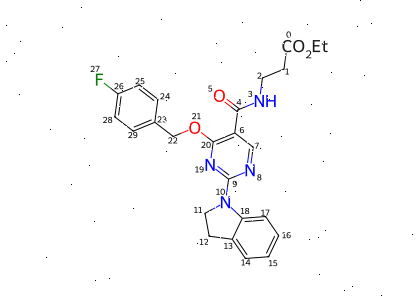 CCOC(=O)CCNC(=O)c1cnc(N2CCc3ccccc32)nc1OCc1ccc(F)cc1